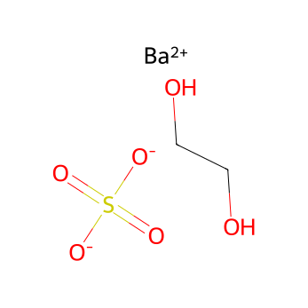 O=S(=O)([O-])[O-].OCCO.[Ba+2]